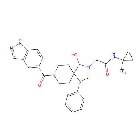 O=C(CN1CN(c2ccccc2)C2(CCN(C(=O)c3ccc4[nH]ncc4c3)CC2)C1O)NC1(C(F)(F)F)CC1